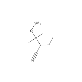 CCC(C#N)C(C)(C)O[SiH3]